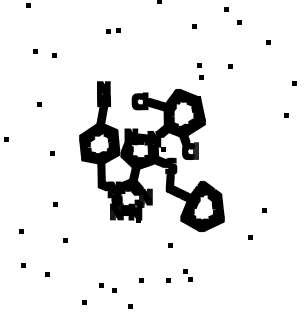 N#Cc1ccc(Cn2nnnc2-c2cnn(-c3c(Cl)cccc3Cl)c2SCc2ccccc2)cc1